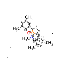 Cc1cc(C)cc(C2CCC(c3cc(C)cc(C)c3)P2(=O)N(C)C)c1